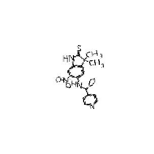 CC1(C)C(=S)Nc2cc([N+](=O)[O-])c(NC(=O)c3ccncc3)cc21